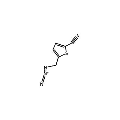 N#Cc1ccc(CN=[N+]=[N-])s1